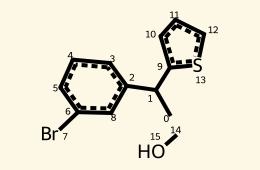 CC(c1cccc(Br)c1)c1cccs1.CO